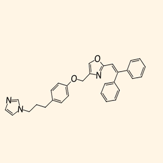 C(=C(c1ccccc1)c1ccccc1)c1nc(COc2ccc(CCCn3ccnc3)cc2)co1